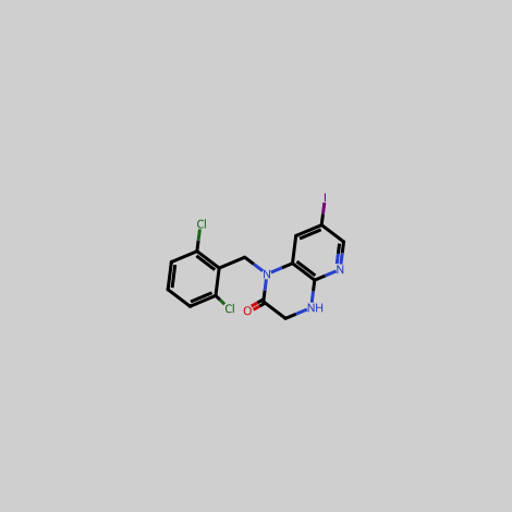 O=C1CNc2ncc(I)cc2N1Cc1c(Cl)cccc1Cl